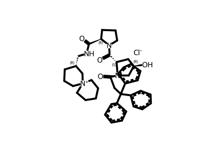 O=C(NC[C@H]1CCC[N+]2(CCCCC2)C1)[C@H]1CCCN1C(=O)[C@@H]1C[C@@H](O)CN1C(=O)CC(c1ccccc1)(c1ccccc1)c1ccccc1.[Cl-]